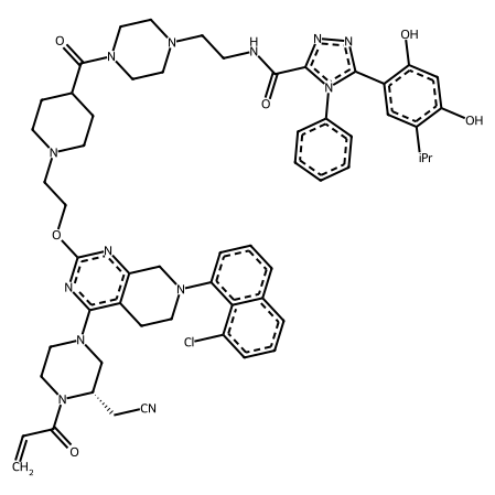 C=CC(=O)N1CCN(c2nc(OCCN3CCC(C(=O)N4CCN(CCNC(=O)c5nnc(-c6cc(C(C)C)c(O)cc6O)n5-c5ccccc5)CC4)CC3)nc3c2CCN(c2cccc4cccc(Cl)c24)C3)C[C@@H]1CC#N